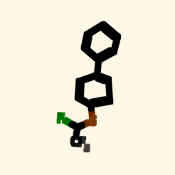 FC(Sc1ccc(-c2ccccc2)cc1)C(F)(F)F